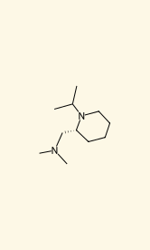 CC(C)N1CCCC[C@@H]1CN(C)C